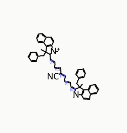 CN1/C(=C/C=C/C=C(C#N)/C=C/C=C/C2=[N+](C)c3ccc4ccccc4c3C2(C)Cc2ccccc2)C(C)(Cc2ccccc2)c2c1ccc1ccccc21